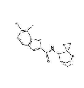 O=C(NC1C2CCN(CC2)C12CC2)c1cc2ccc(Cl)c(F)c2s1